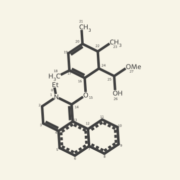 CCN1CC=c2ccc3ccccc3c2=C1OC1=C(C)C=C(C)C(C)C1C(O)OC